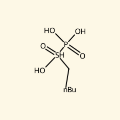 CCCCC[SH](=O)(O)P(=O)(O)O